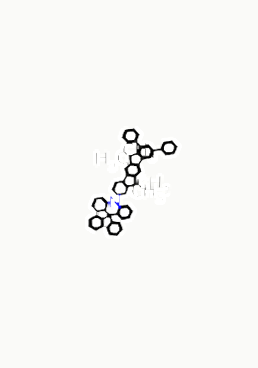 CC1(C)C2=C(C=CC(N3C4=CC=CCC4C(c4ccccc4)(c4ccccc4)c4ccccc43)C2)c2cc3c(cc21)-c1cc(-c2ccccc2)cc(-c2ccccc2)c1C3(C)C